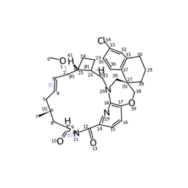 CO[C@H]1/C=C/C[C@H](C)C/[SH](=O)=N\C(=O)c2ccc3c(n2)N(C[C@@H]2CC[C@H]21)C[C@@]1(CCCc2cc(Cl)ccc21)CO3